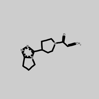 C=CC(=O)N1CCC(c2nnc3n2CCC3)CC1